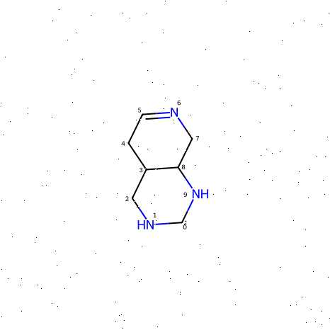 [C]1NCC2CC=NCC2N1